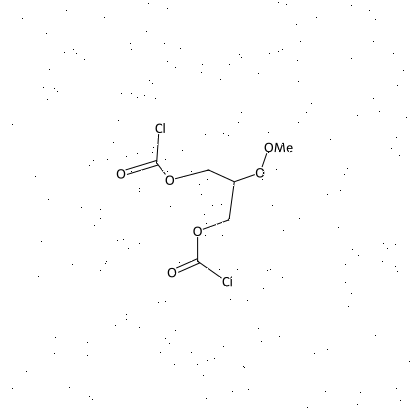 COOC(COC(=O)Cl)COC(=O)Cl